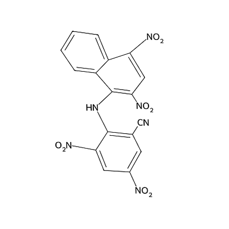 N#Cc1cc([N+](=O)[O-])cc([N+](=O)[O-])c1Nc1c([N+](=O)[O-])cc([N+](=O)[O-])c2ccccc12